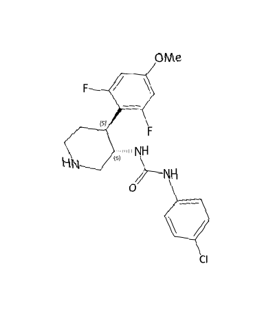 COc1cc(F)c([C@@H]2CCNC[C@H]2NC(=O)Nc2ccc(Cl)cc2)c(F)c1